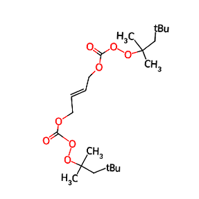 CC(C)(C)CC(C)(C)OOC(=O)OCC=CCOC(=O)OOC(C)(C)CC(C)(C)C